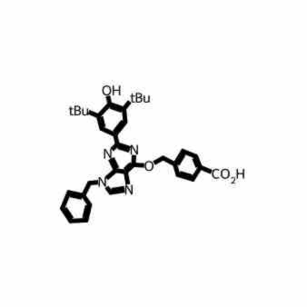 CC(C)(C)c1cc(-c2nc(OCc3ccc(C(=O)O)cc3)c3ncn(Cc4ccccc4)c3n2)cc(C(C)(C)C)c1O